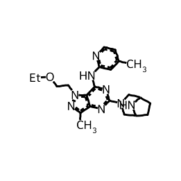 CCOCCn1nc(C)c2nc(N3CC4CCC(C3)N4)nc(Nc3cc(C)ccn3)c21